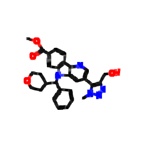 COC(=O)c1ccc2c3ncc(-c4c(CO)nnn4C)cc3n(C(c3ccccc3)C3CCOCC3)c2c1